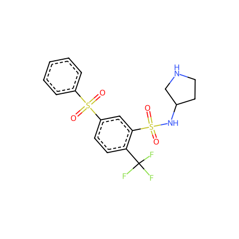 O=S(=O)(NC1CCNC1)c1cc(S(=O)(=O)c2ccccc2)ccc1C(F)(F)F